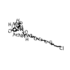 CC(=O)N[C@@H](CSc1nc2c(=O)[nH]c(N)nc2n1Cc1ccc(Cl)cc1)C(=O)NCCOCCOCCOCCOCCOCCCCCCCl